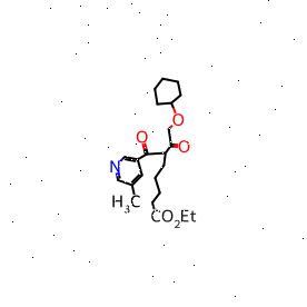 CCOC(=O)CCCCC(C(=O)COC1CCCCC1)C(=O)c1cncc(C)c1